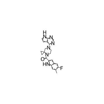 Cc1cc2[nH]c(C(=O)N3CCN(c4ncnc5[nH]ccc45)CC34CC4)cc2cc1F